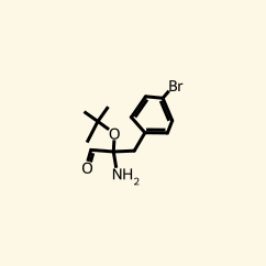 CC(C)(C)OC(N)(C=O)Cc1ccc(Br)cc1